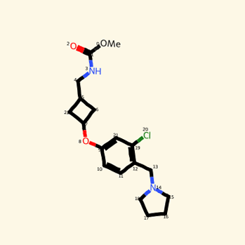 COC(=O)NCC1CC(Oc2ccc(CN3CCCC3)c(Cl)c2)C1